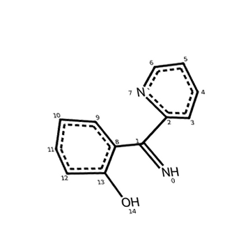 N=C(c1ccccn1)c1ccccc1O